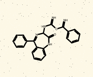 N=C(NC1N=C(c2ccccc2)c2ccccc2NC1=O)OC(=N)c1ccccc1